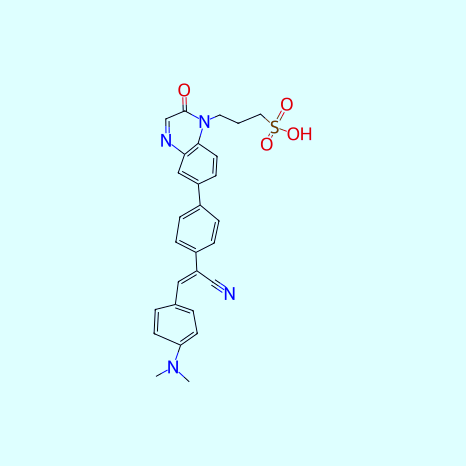 CN(C)c1ccc(C=C(C#N)c2ccc(-c3ccc4c(c3)ncc(=O)n4CCCS(=O)(=O)O)cc2)cc1